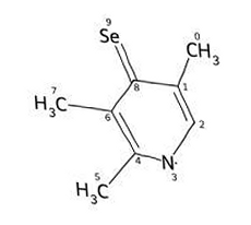 CC1=C[N]C(C)=C(C)C1=[Se]